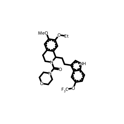 CCOc1cc2c(cc1OC)CCN(C(=O)N1CCOCC1)C2CCc1c[nH]c2ccc(OC(F)(F)F)cc12